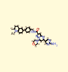 CC(=O)N1c2ccc(-c3ccc(CNC(=O)c4cc5nc(-c6cnc(N)nc6)cc(N6CCOCC6)n5n4)cc3)cc2CC[C@@H]1C